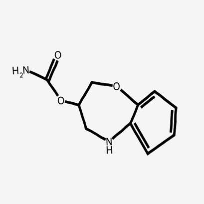 NC(=O)OC1CNc2ccccc2OC1